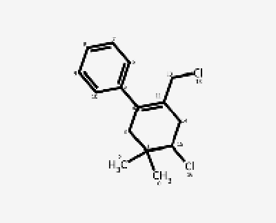 CC1(C)CC(c2ccccc2)=C(CCl)CC1Cl